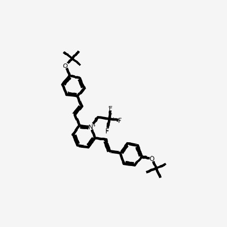 CC(C)(C)Oc1ccc(/C=C/c2cccc(/C=C/c3ccc(OC(C)(C)C)cc3)[n+]2CC(F)(F)F)cc1